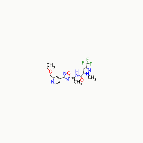 CCOCc1cc(-c2noc([C@H](C)NC(=O)c3cc(C(F)(F)F)nn3C)n2)ccn1